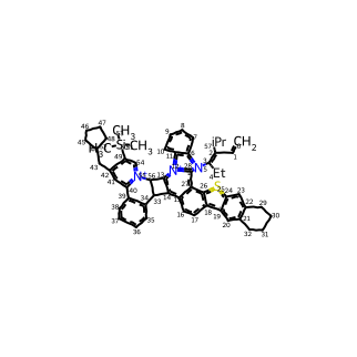 C=C/C(=C(\CC)n1c2ccccc2[n+]2c3c(c4ccc5c6cc7c(cc6sc5c4c12)CCCC7)C1c2ccccc2-c2cc(CC4CCCC4)c([Si](C)(C)C)c[n+]2C31)C(C)C